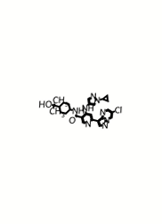 CC(C)(O)C1CCC(NC(=O)c2cnc(-c3cnn4cc(Cl)cnc34)cc2Nc2cnn(C3CC3)c2)CC1